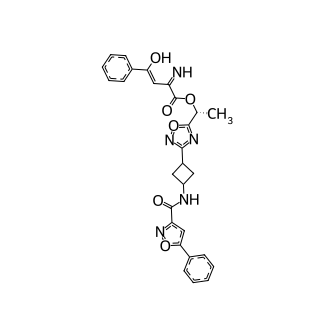 C[C@@H](OC(=O)C(=N)/C=C(\O)c1ccccc1)c1nc(C2CC(NC(=O)c3cc(-c4ccccc4)on3)C2)no1